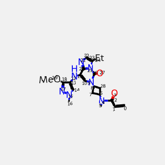 C=CC(=O)N(C)C1CC(n2cc(Nc3cn(C)nc3OC)c3ncc(CC)n3c2=O)C1